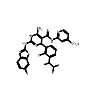 CC1=C(C(=O)Nc2cc(C(=O)O)ccn2)C(c2cccc(C(F)C(F)F)c2Cl)N=C(Nc2nc3ccc(F)cc3o2)N1